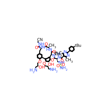 Cc1nc(-c2ccc(C(C)(C)C)cc2)nc(C)c1C(=O)N[C@@H](CNS(N)(=O)=O)C(=O)N(C)[C@@H]1C(=O)N[C@@H](C)C(=O)N[C@H](C(=O)NCC#N)Cc2ccc(OC[C@H](O)CN)c(c2)-c2cc1ccc2OC[C@H](O)CN